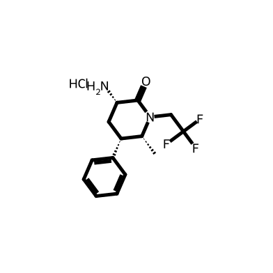 C[C@@H]1[C@H](c2ccccc2)C[C@H](N)C(=O)N1CC(F)(F)F.Cl